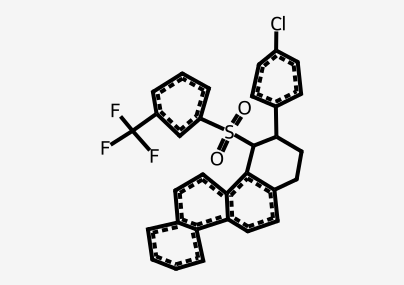 O=S(=O)(c1cccc(C(F)(F)F)c1)C1c2c(ccc3c2ccc2ccccc23)CCC1c1ccc(Cl)cc1